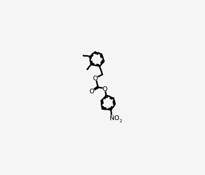 Cc1cccc(COC(=O)Oc2ccc([N+](=O)[O-])cc2)c1C